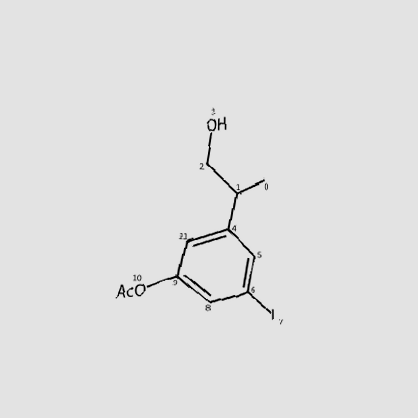 C[C](CO)c1cc(I)cc(OC(C)=O)c1